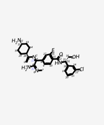 C=C(/N=C(\C(N)=N/C)c1ccc(C(=O)N[C@H](CO)c2cccc(Cl)c2)c(F)c1)[C@H]1CC[C@H](N)CC1